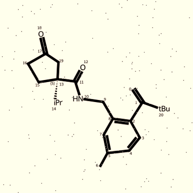 C=C(c1ccc(C)cc1CNC(=O)[C@@]1(C(C)C)CCC(=O)C1)C(C)(C)C